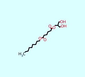 CCCCCCCCCOC(=O)CCCCC(=O)OCC(CO)CO